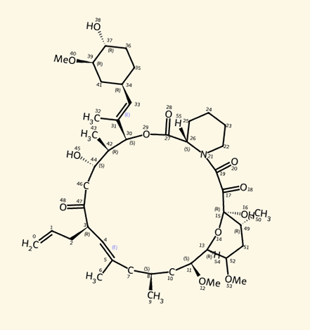 C=CC[C@@H]1/C=C(\C)C[C@H](C)C[C@H](OC)[C@H]2O[C@@](O)(C(=O)C(=O)N3CCCC[C@H]3C(=O)O[C@H](/C(C)=C/[C@@H]3CC[C@@H](O)[C@H](OC)C3)[C@H](C)[C@@H](O)CC1=O)[C@H](C)CC2OC